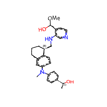 COC(O)c1ccncc1NC[C@@H]1CCCc2cc(N(C)c3ccc([C@H](C)O)cc3)ccc21